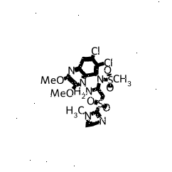 COc1nc2cc(Cl)c(Cl)c(N(C(N)CS(=O)(=O)c3nccn3C)S(C)(=O)=O)c2nc1OC